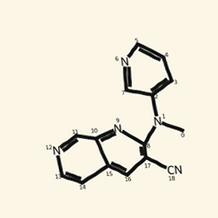 CN(c1cccnc1)c1nc2cnccc2cc1C#N